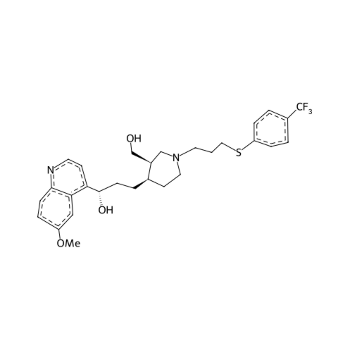 COc1ccc2nccc([C@@H](O)CC[C@@H]3CCN(CCCSc4ccc(C(F)(F)F)cc4)C[C@@H]3CO)c2c1